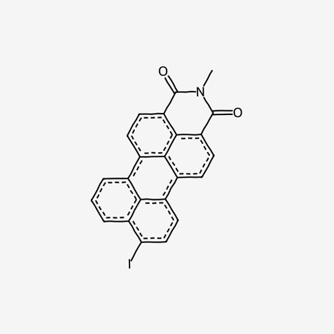 CN1C(=O)c2ccc3c4cccc5c(I)ccc(c6ccc(c2c36)C1=O)c54